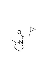 CC1CCCN1C(=O)CC1CC1